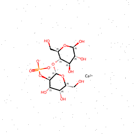 O=P([O-])([O-])O[C@H]1[C@H](O[C@H]2[C@H](O)[C@@H](O)[C@H](O)O[C@@H]2CO)O[C@H](CO)[C@H](O)[C@@H]1O.[Ca+2]